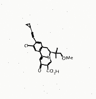 COCC(C)(C)[C@@H]1Cc2cc(C#CC3CC3)c(Cl)cc2-c2cc(=O)c(C(=O)O)cn21